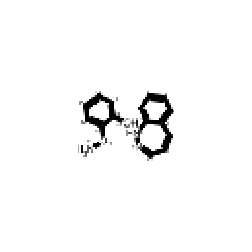 C1=Cc2ccccc2NN=C1.NOc1ccccc1O